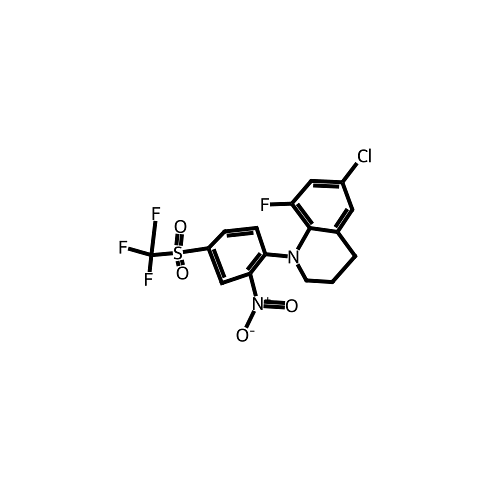 O=[N+]([O-])c1cc(S(=O)(=O)C(F)(F)F)ccc1N1CCCc2cc(Cl)cc(F)c21